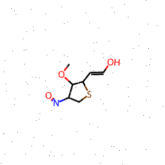 COC1C(N=O)CSC1C=CO